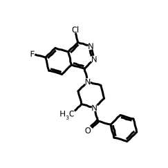 CC1CN(c2nnc(Cl)c3cc(F)ccc23)CCN1C(=O)c1ccccc1